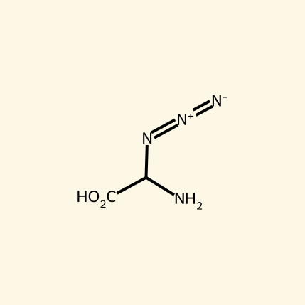 [N-]=[N+]=NC(N)C(=O)O